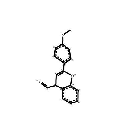 CSc1ccc(C2=CC(C=O)c3ccccc3O2)cc1